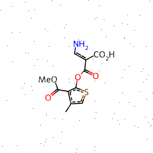 COC(=O)c1c(C)csc1OC(=O)C(=CN)C(=O)O